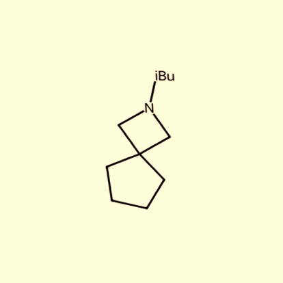 CCC(C)N1CC2(CCCC2)C1